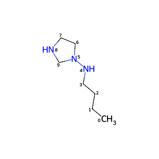 CCCCNN1CCNC1